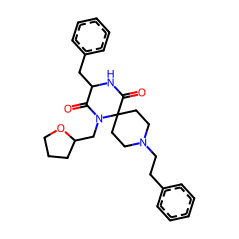 O=C1C(Cc2ccccc2)NC(=O)C2(CCN(CCc3ccccc3)CC2)N1CC1CCCO1